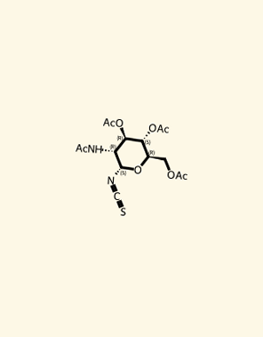 CC(=O)N[C@@H]1[C@@H](OC(C)=O)[C@H](OC(C)=O)[C@@H](COC(C)=O)O[C@@H]1N=C=S